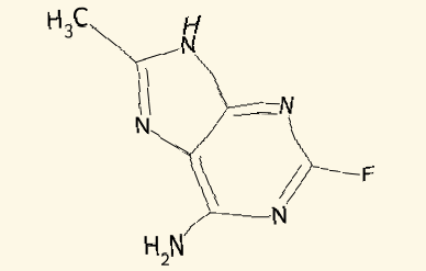 Cc1nc2c(N)nc(F)nc2[nH]1